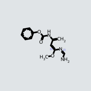 C=C(/C=C(\N=C/N)OC)NC(=O)Oc1ccccc1